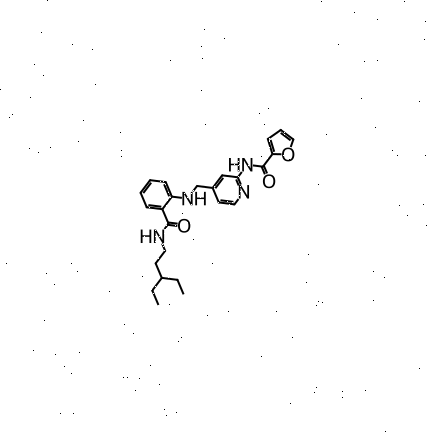 CCC(CC)CCNC(=O)c1ccccc1NCc1ccnc(NC(=O)c2ccco2)c1